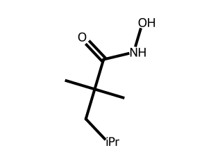 CC(C)CC(C)(C)C(=O)NO